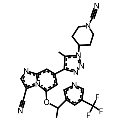 Cc1c(-c2cc(OC(C)c3cncc(C(F)(F)F)c3)n3c(C#N)cnc3c2)nnn1C1CCN(C#N)CC1